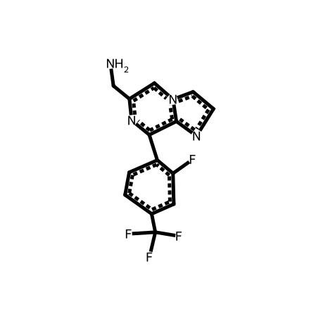 NCc1cn2ccnc2c(-c2ccc(C(F)(F)F)cc2F)n1